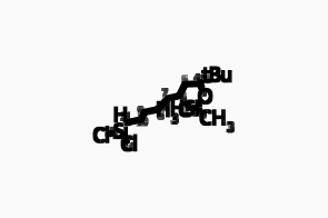 C[SiH](C)OC(CCCCCCC[SiH](Cl)Cl)C(C)(C)C